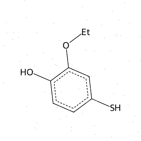 CCOc1cc(S)ccc1O